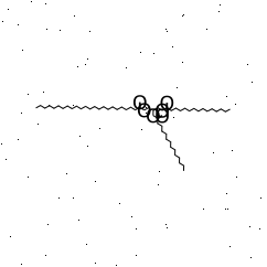 CCCCCCCCCCCCCCCCCCCCCCCC(=O)OC[C@H](COC(=O)CCCCCCCCCCCCCC)OC(=O)CCCCCCCCCCCCC